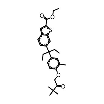 CCOC(=O)c1cc2ccc(C(CC)(CC)c3ccc(OCC(=O)C(C)(C)C)c(C)c3)cc2s1